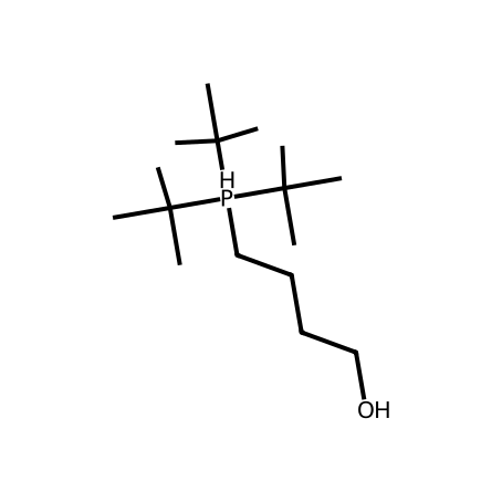 CC(C)(C)[PH](CCCCO)(C(C)(C)C)C(C)(C)C